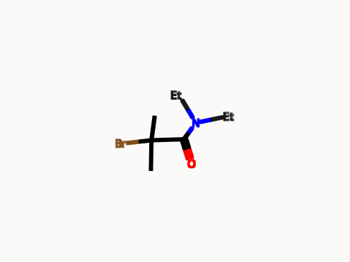 CCN(CC)C(=O)C(C)(C)Br